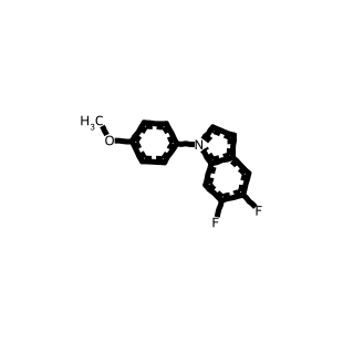 COc1ccc(-n2ccc3cc(F)c(F)cc32)cc1